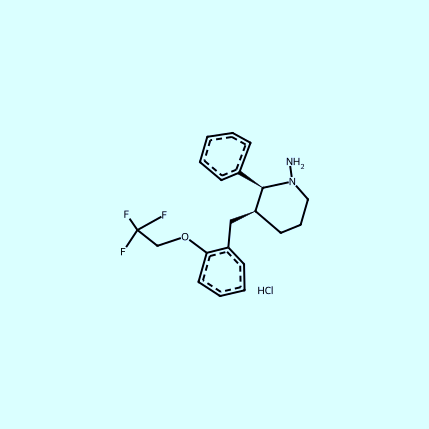 Cl.NN1CCC[C@@H](Cc2ccccc2OCC(F)(F)F)[C@H]1c1ccccc1